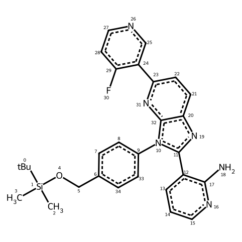 CC(C)(C)[Si](C)(C)OCc1ccc(-n2c(-c3cccnc3N)nc3ccc(-c4cnccc4F)nc32)cc1